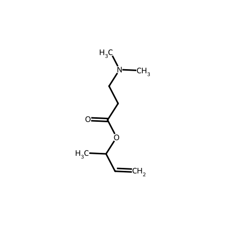 C=CC(C)OC(=O)CCN(C)C